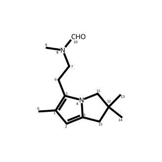 Cc1cc2n(c1CCN(C)C=O)CC(C)(C)C2